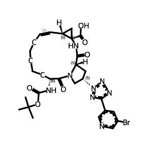 CC(C)(C)OC(=O)N[C@@H]1CCCCC/C=C\[C@@H]2C[C@]2(C(=O)O)NC(=O)[C@@H]2C[C@H](n3nnc(-c4cncc(Br)c4)n3)CN2C1=O